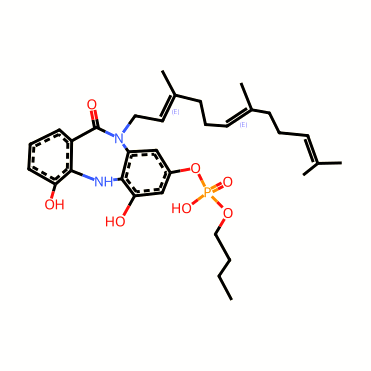 CCCCOP(=O)(O)Oc1cc(O)c2c(c1)N(C/C=C(\C)CC/C=C(\C)CCC=C(C)C)C(=O)c1cccc(O)c1N2